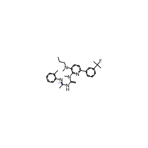 C=C(N/C(C)=N/c1ccccc1C)N(C)c1nc(-c2cccc(C(C)(C)F)c2)ccc1N(C)CCC